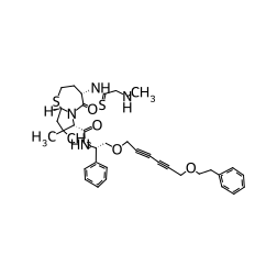 CNCC(=S)N[C@H]1CCS[C@H]2CC(C)(C)[C@@H](C(=O)N[C@H](COCC#CC#CCOCCc3ccccc3)c3ccccc3)N2C1=O